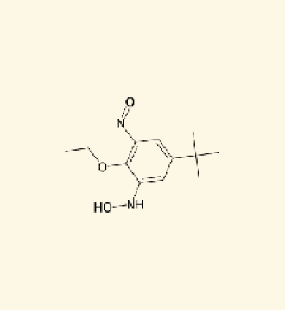 CCOc1c(N=O)cc(C(C)(C)C)cc1NO